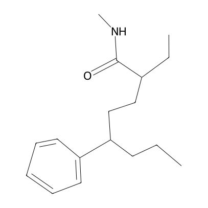 CCCC(CCC(CC)C(=O)NC)c1ccccc1